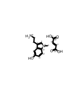 Cn1cc(CCN)c2cc(O)ccc21.O=C(O)C=CC(=O)O